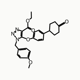 CCOC(=O)c1nnn(Cc2ccc(OC)cc2)c1Oc1ccc(C2CCC(=O)CC2)cc1